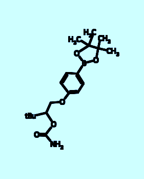 CC(C)(C)C(COc1ccc(B2OC(C)(C)C(C)(C)O2)cc1)OC(N)=O